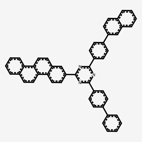 c1ccc(-c2ccc(-c3nc(-c4ccc(-c5ccc6ccccc6c5)cc4)nc(-c4ccc5c(ccc6c7ccccc7ccc56)c4)n3)cc2)cc1